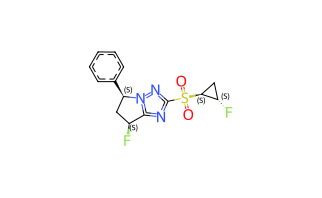 O=S(=O)(c1nc2n(n1)[C@H](c1ccccc1)C[C@@H]2F)[C@H]1C[C@@H]1F